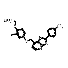 CCOC(=O)COc1ccc(SCc2ccnc3sc(-c4ccc(C(F)(F)F)cc4)nc23)cc1C